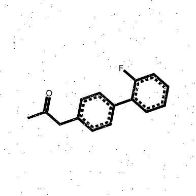 CC(=O)Cc1ccc(-c2ccccc2F)cc1